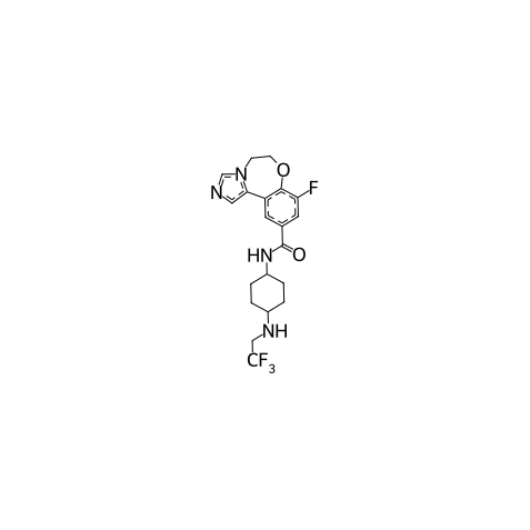 O=C(NC1CCC(NCC(F)(F)F)CC1)c1cc(F)c2c(c1)-c1cncn1CCO2